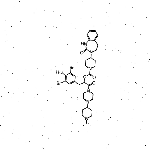 CN1CCC(N2CCN(C(=O)C(Cc3cc(Br)c(O)c(Br)c3)OC(=O)N3CCC(N4CCc5ccccc5NC4=O)CC3)CC2)CC1